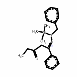 CCC(=O)C/C(=N\N(Cc1ccccc1)[Si](C)(C)C)c1ccccc1